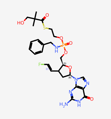 CC(C)(CO)C(=O)SCCOP(=O)(NCc1ccccc1)OC[C@H]1O[C@@H](n2cnc3c(=O)[nH]c(N)nc32)CC1/C=C/F